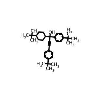 CC(C)(C)c1ccc(C#CC(O)(c2ccc(C(C)(C)C)cc2)C2CCC(C(C)(C)C)CC2)cc1